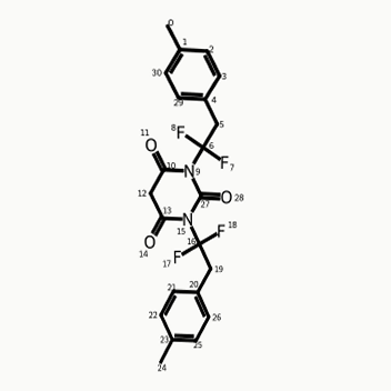 Cc1ccc(CC(F)(F)N2C(=O)CC(=O)N(C(F)(F)Cc3ccc(C)cc3)C2=O)cc1